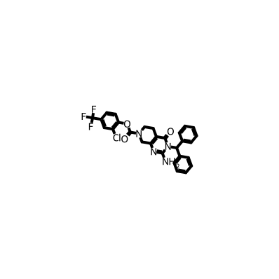 Nc1nc2c(c(=O)n1C(c1ccccc1)c1ccccc1)CCN(C(=O)Oc1ccc(C(F)(F)F)cc1Cl)C2